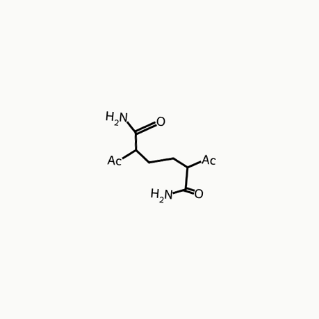 CC(=O)C(CCC(C(C)=O)C(N)=O)C(N)=O